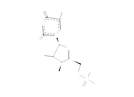 Cc1cn([C@H]2O[C@@H](COP(=O)(O)O)[C@@H](O)C2F)c(=O)[nH]c1=O